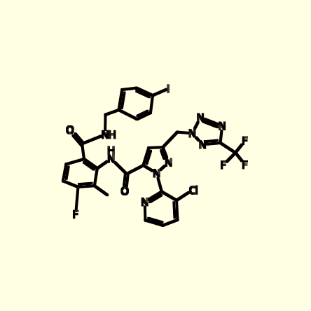 Cc1c(F)ccc(C(=O)NCc2ccc(I)cc2)c1NC(=O)c1cc(Cn2nnc(C(F)(F)F)n2)nn1-c1ncccc1Cl